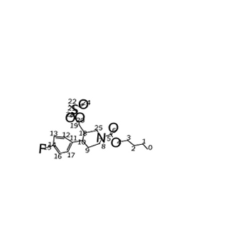 CCCCOC(=O)N1CCC(c2ccc(F)cc2)C(COS(C)(=O)=O)C1